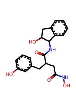 O=C(CC(Cc1cccc(O)c1)C(=O)NC1c2ccccc2CC1O)NO